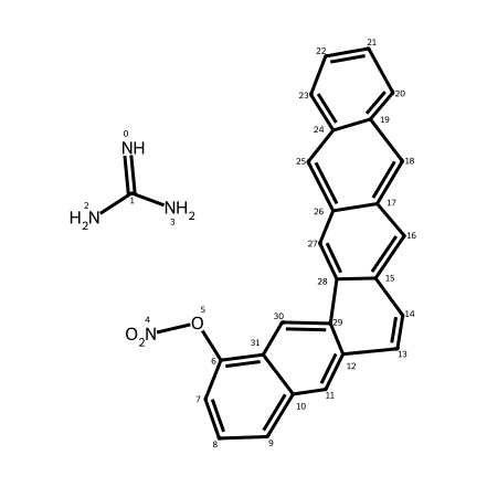 N=C(N)N.O=[N+]([O-])Oc1cccc2cc3ccc4cc5cc6ccccc6cc5cc4c3cc12